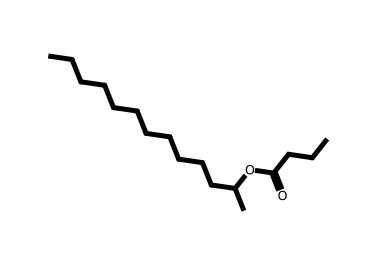 CCCCCCCCCCCC(C)OC(=O)CCC